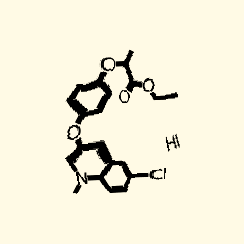 CCOC(=O)C(C)Oc1ccc(OC2=CN(C)C3C=CC(Cl)=CC3=C2)cc1.I